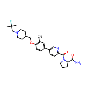 CC(C)(F)CN1CCC(COc2ccc(-c3ccc(C(=O)N4CCCC4C(N)=O)nc3)cc2C#N)CC1